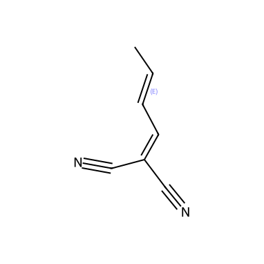 C/C=C/C=C(C#N)C#N